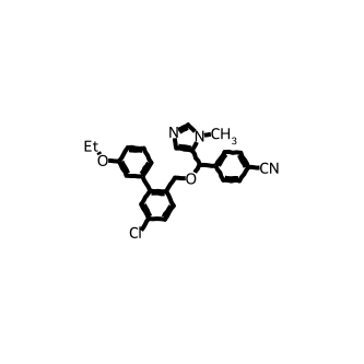 CCOc1cccc(-c2cc(Cl)ccc2COC(c2ccc(C#N)cc2)c2cncn2C)c1